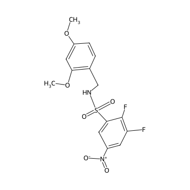 COc1ccc(CNS(=O)(=O)c2cc([N+](=O)[O-])cc(F)c2F)c(OC)c1